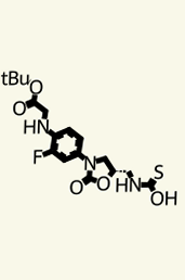 CC(C)(C)OC(=O)CNc1ccc(N2C[C@H](CNC(O)=S)OC2=O)cc1F